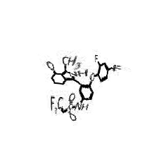 Cc1[nH]c(-c2cc(NS(=O)(=O)CC(F)(F)F)ccc2Oc2ccc(F)cc2F)c2c1C(=O)CCC2